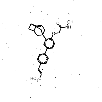 O=C(O)/C=C/c1ccc(-c2ccc(OCC(=O)NO)c(C34CC=C5C(CC5C3)C4)c2)cc1